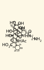 CCC1CC(C(=O)NCCN)C[C@@H](O[C@@H]2OC(CO)[C@H](O)C(OC(CC3CCCCC3)C(=O)O)C2NC(C)=O)C1O[C@@H]1OC(C)[C@@H](O)C(O)C1O